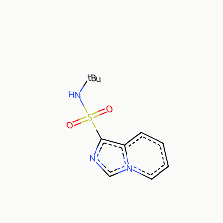 CC(C)(C)NS(=O)(=O)c1ncn2ccccc12